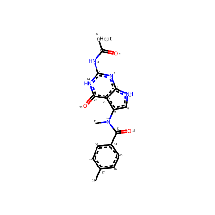 CCCCCCCC(=O)Nc1nc2[nH]cc(N(C)C(=O)c3ccc(C)cc3)c2c(=O)[nH]1